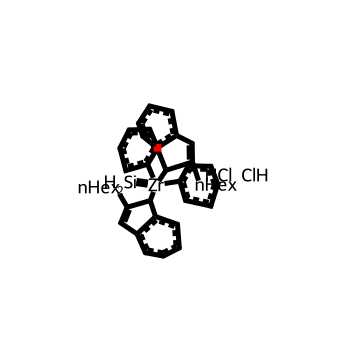 CCCCCCC1=Cc2ccccc2[CH]1[Zr](=[SiH2])([c]1ccccc1)([c]1ccccc1)[CH]1C(CCCCCC)=Cc2ccccc21.Cl.Cl